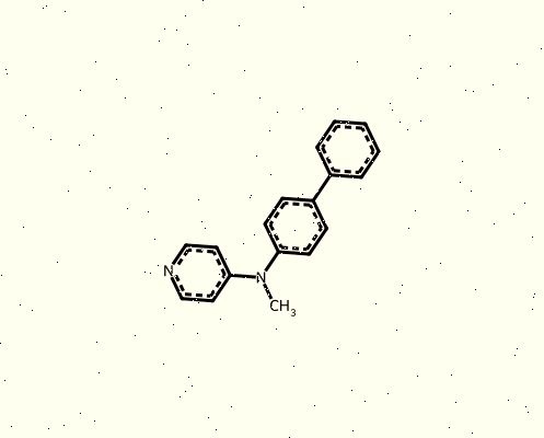 CN(c1ccncc1)c1ccc(-c2ccccc2)cc1